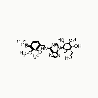 COc1ccc(CNc2ncn(C3O[C@H](CO)[C@@H](O)[C@H](O)[C@H]3O)c3ncnc2-3)c(OC)c1OC